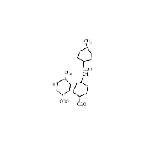 CC1CCC(C(=O)[O-])CC1.CC1CCC(C(=O)[O-])CC1.CC1CCC(C(=O)[O-])CC1.[In+3]